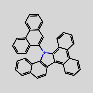 c1ccc2c(c1)cc(-n1c3c4ccccc4ccc3c3c4ccccc4c4ccccc4c31)c1ccccc12